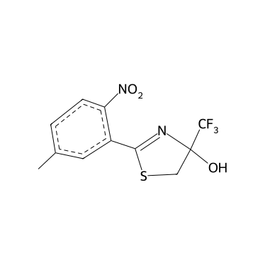 Cc1ccc([N+](=O)[O-])c(C2=NC(O)(C(F)(F)F)CS2)c1